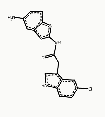 Nc1ccc2nc(NC(=O)Cc3c[nH]c4ccc(Cl)cc34)sc2c1